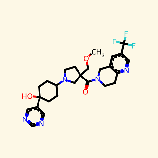 COCC1(C(=O)N2CCc3ncc(C(F)(F)F)cc3C2)CCN(C2CCC(O)(c3cncnc3)CC2)C1